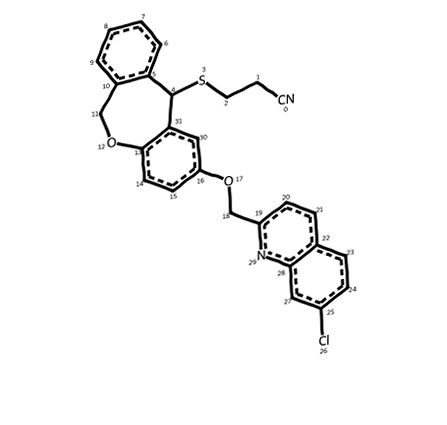 N#CCCSC1c2ccccc2COc2ccc(OCc3ccc4ccc(Cl)cc4n3)cc21